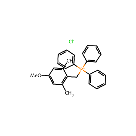 COc1cc(C)c(C[P+](c2ccccc2)(c2ccccc2)c2ccccc2)c(C)c1.[Cl-]